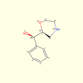 O[C@H](c1ccccc1)[C@@H]1CNCCO1